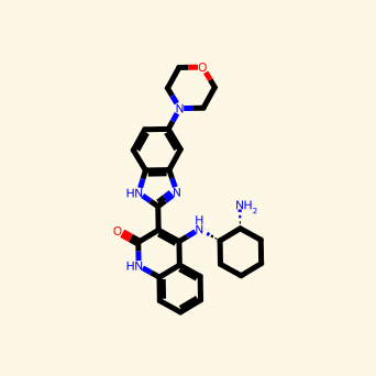 N[C@@H]1CCCC[C@@H]1Nc1c(-c2nc3cc(N4CCOCC4)ccc3[nH]2)c(=O)[nH]c2ccccc12